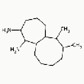 CC1CCCCC2C(N)C(N)CCCC2C1C